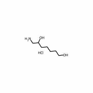 Cl.NCC(O)CCCCCO